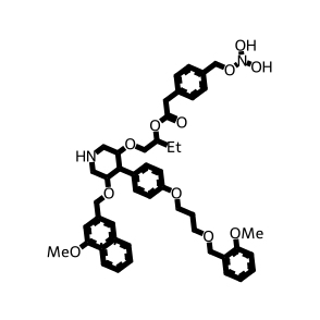 CCC(COC1CNCC(OCc2cc(OC)c3ccccc3c2)C1c1ccc(OCCCOCc2ccccc2OC)cc1)OC(=O)Cc1ccc(CON(O)O)cc1